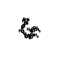 CC(C)(C)OC(=O)CC[C@@H](C(N)=O)N1Cc2c(OCc3ccc(CN4CCN(c5cnc(C#N)c(C(F)(F)F)c5)CC4)c(F)c3)cccc2C1=O